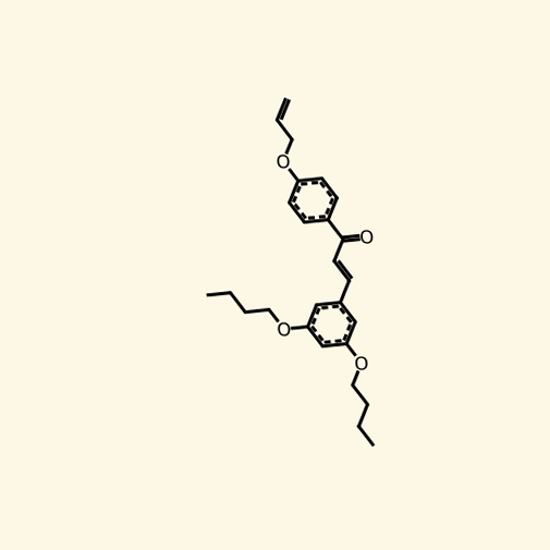 C=CCOc1ccc(C(=O)C=Cc2cc(OCCCC)cc(OCCCC)c2)cc1